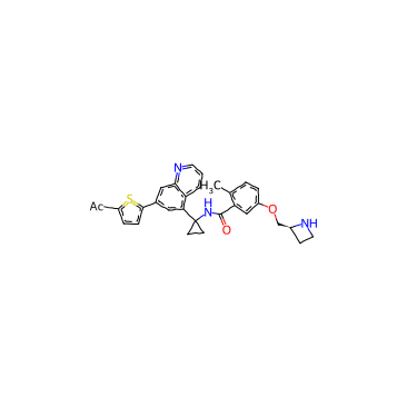 CC(=O)c1ccc(-c2cc(C3(NC(=O)c4cc(OC[C@@H]5CCN5)ccc4C)CC3)c3cccnc3c2)s1